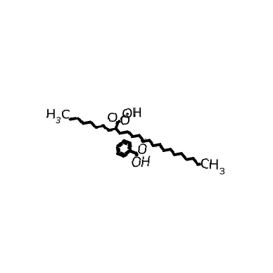 CCCCCCCCCCCCCCCCC(CCCCCCCC)C(=O)OO.O=C(O)c1ccccc1